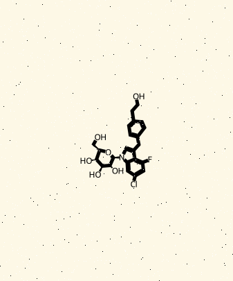 OCCc1ccc(Cc2cn([C@@H]3O[C@H](CO)[C@@H](O)[C@H](O)[C@H]3O)c3cc(Cl)cc(F)c23)cc1